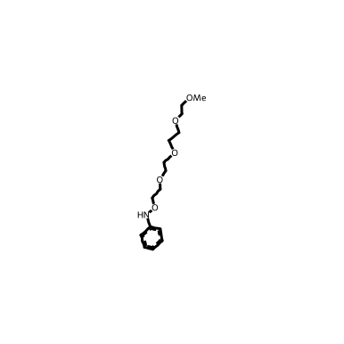 COCCOCCOCCOCCONc1ccccc1